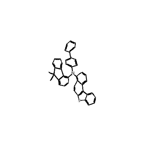 CC1(C)c2ccccc2-c2c(N(c3ccc(-c4ccccc4)cc3)c3cccc4c3ccc3sc5ccccc5c34)cccc21